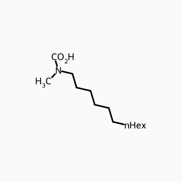 CCCCCCCCCCCCN(C)C(=O)O